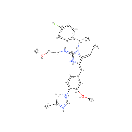 C/C=c1/c(=C/c2ccc(-n3cnc(C)c3)c(OC)c2)[nH]/c(=N\CCOC)n1[C@@H](C)c1ccc(F)cc1